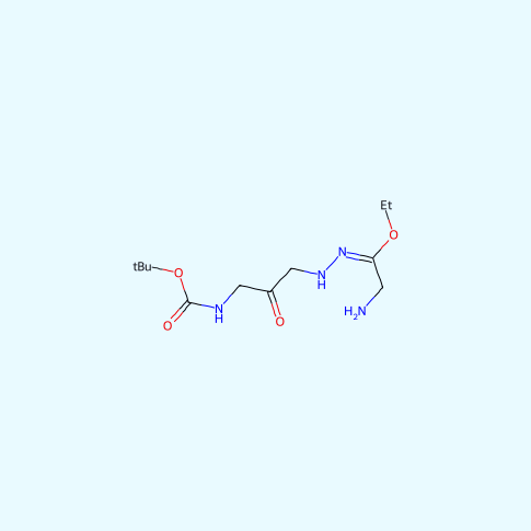 CCOC(CN)=NNCC(=O)CNC(=O)OC(C)(C)C